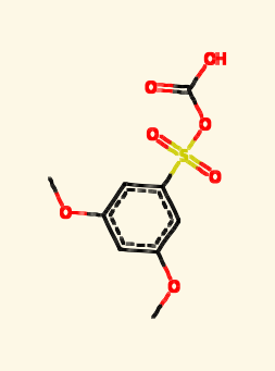 COc1cc(OC)cc(S(=O)(=O)OC(=O)O)c1